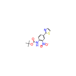 CC(C)(C)OC(=O)Nc1ccc(-c2nccs2)cc1[N+](=O)[O-]